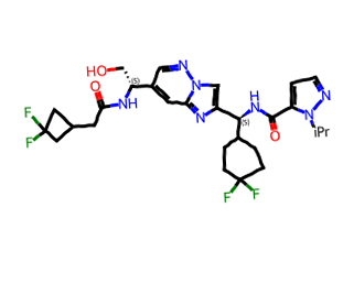 CC(C)n1nccc1C(=O)N[C@H](c1cn2ncc([C@@H](CO)NC(=O)CC3CC(F)(F)C3)cc2n1)C1CCC(F)(F)CC1